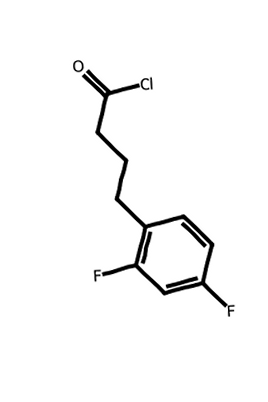 O=C(Cl)CCCc1ccc(F)cc1F